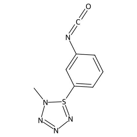 CN1N=NN=S1c1cccc(N=C=O)c1